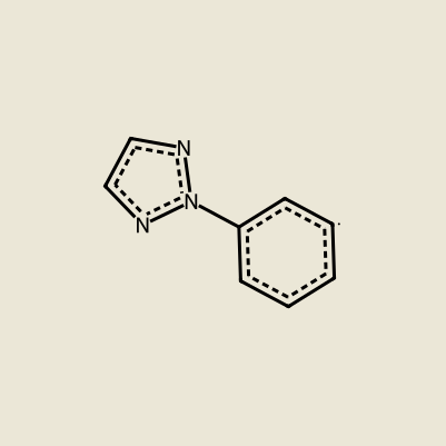 [c]1cccc(-n2nccn2)c1